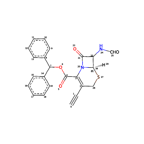 C#CC1=C(C(=O)OC(c2ccccc2)c2ccccc2)N2C(=O)C(NC=O)[C@H]2SC1